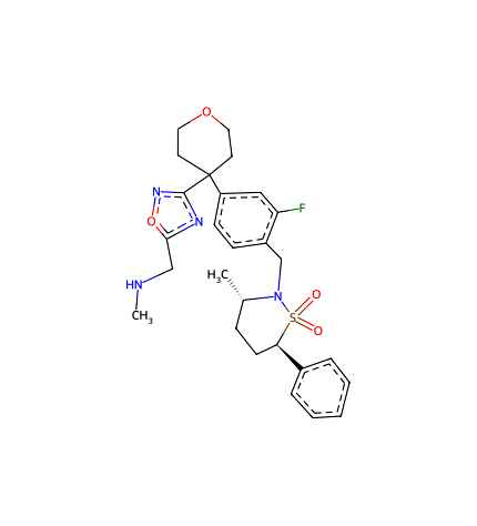 CNCc1nc(C2(c3ccc(CN4[C@@H](C)CC[C@H](c5ccccc5)S4(=O)=O)c(F)c3)CCOCC2)no1